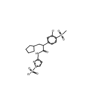 CCS(=O)(=O)n1ccc(NC(=O)C(CC2CCCC2)c2ccc(S(C)(=O)=O)c(Cl)c2)n1